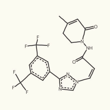 CC1=CC(=O)N(NC(=O)/C=C\n2cnc(-c3cc(C(F)(F)F)cc(C(F)(F)F)c3)n2)CC1